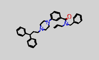 C=CCN(Cc1ccccc1)C(=O)c1cccc(N2CCN(CCC(c3ccccc3)c3ccccc3)CC2)c1